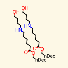 CCCCCCCCCCCOC(=O)CCCCCNCCCCO.CCCCCCCCCCCOC(=O)CCCCCNCCCCO